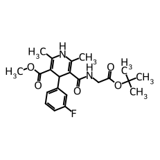 COC(=O)C1=C(C)NC(C)=C(C(=O)NCC(=O)OC(C)(C)C)C1c1cccc(F)c1